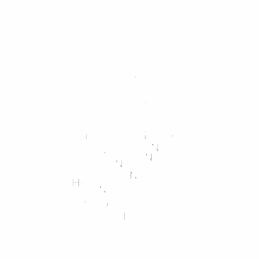 CCc1cc(OCc2ccccc2)c(F)cc1-c1ccc2c(-c3nc4c(n3COCC[Si](C)(C)C)CN(C(=O)O)[C@H](C(=O)O)C4)nn(C3CCCCO3)c2c1